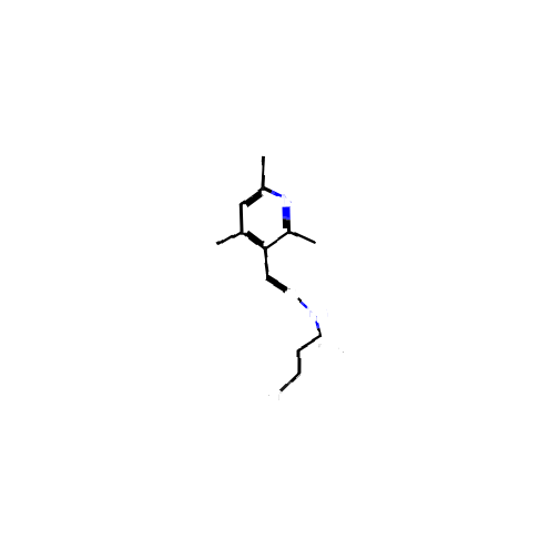 CCC(C)CC[C@@H](C)N/B=C\c1c(C)cc(C)nc1C